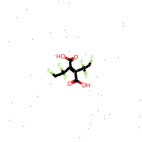 O=C(O)/C(=C(/C(=O)O)C(F)(F)CF)C(F)(F)CF